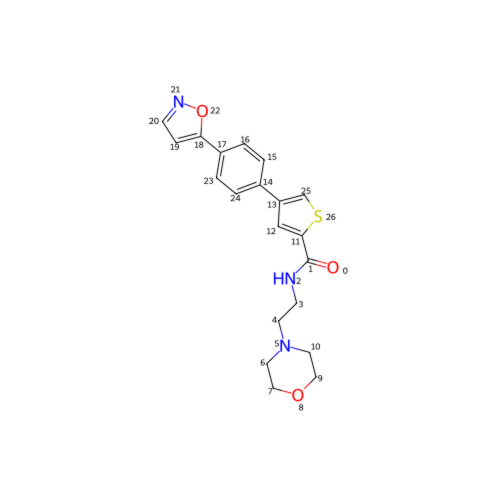 O=C(NCCN1CCOCC1)c1cc(-c2ccc(-c3ccno3)cc2)cs1